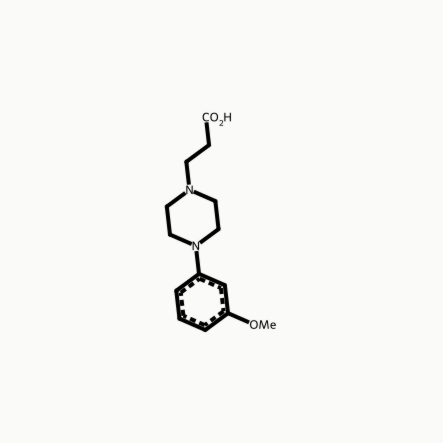 COc1cccc(N2CCN(CCC(=O)O)CC2)c1